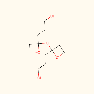 OCCCC1(OC2(CCCO)CCO2)CCO1